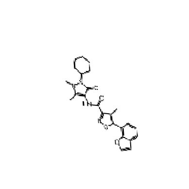 Cc1c(C(=O)Nc2c(C)n(C)n(C3CCCCC3)c2=O)noc1-c1cccc2ccoc12